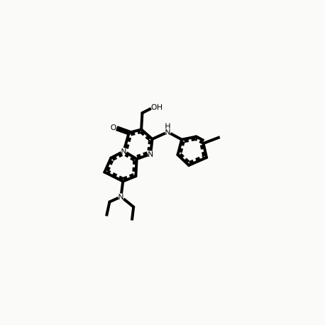 CCN(CC)c1ccn2c(=O)c(CO)c(Nc3cccc(C)c3)nc2c1